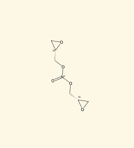 O=[N+](OC[C@@H]1CO1)OC[C@@H]1CO1